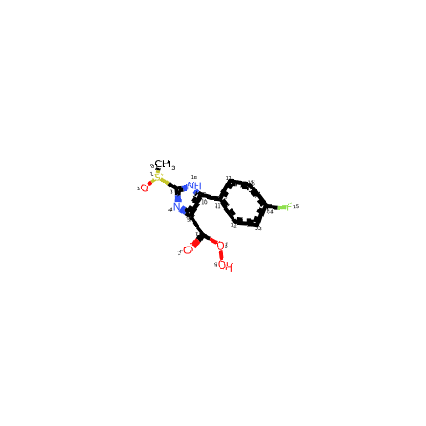 C[S+]([O-])c1nc(C(=O)OO)c(-c2ccc(F)cc2)[nH]1